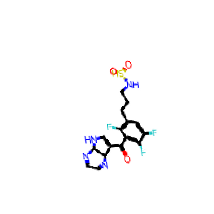 O=C(C1=CNC2N=CC=NC12)c1c(F)c(F)cc(CCCN[SH](=O)=O)c1F